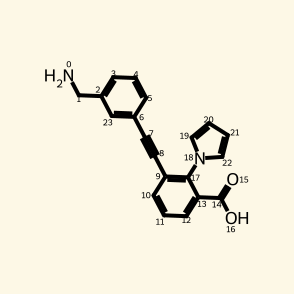 NCc1cccc(C#Cc2cccc(C(=O)O)c2-n2cccc2)c1